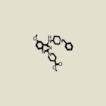 COC(=O)C1CCN(c2nc(NC3CCN(Cc4ccccc4)CC3)c3cc(OC)ccc3n2)CC1